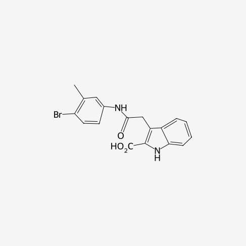 Cc1cc(NC(=O)Cc2c(C(=O)O)[nH]c3ccccc23)ccc1Br